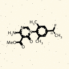 COC(=O)c1c(N)ncn(-c2c(C)cc([C@H](C)F)cc2C)c1=O